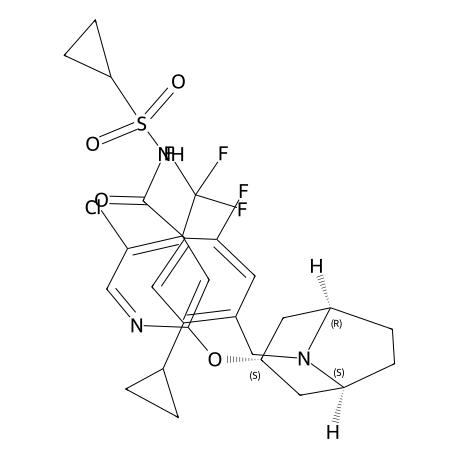 O=C(NS(=O)(=O)C1CC1)c1cc(C2CC2)c(CN2[C@@H]3CC[C@H]2C[C@H](Oc2cc(C(F)(F)F)c(Cl)cn2)C3)cc1F